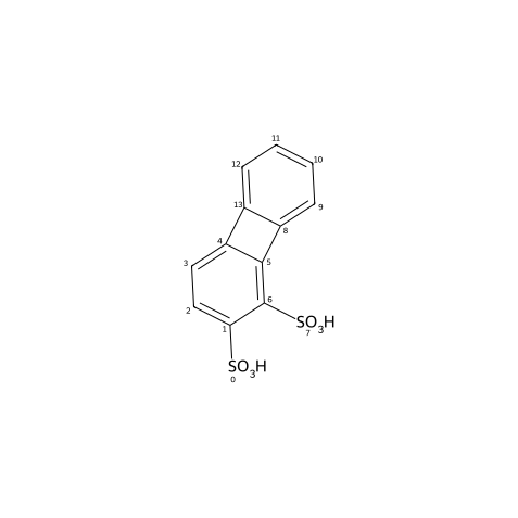 O=S(=O)(O)c1ccc2c(c1S(=O)(=O)O)-c1ccccc1-2